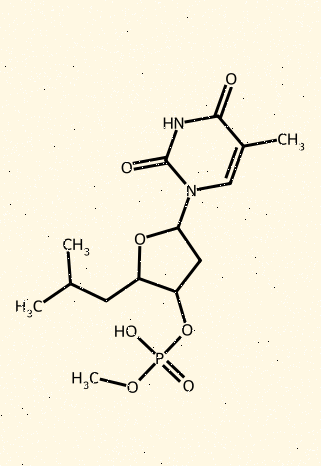 COP(=O)(O)OC1CC(n2cc(C)c(=O)[nH]c2=O)OC1CC(C)C